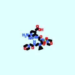 CC(=O)O.N=C(N)N1CCC[C@@H](CNC(=O)C[C@H](NS(=O)(=O)N2CCOCC2)C(=O)N(CCNC(=O)CN2CCOCC2)C2CC2)C1